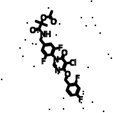 CC(=O)OC(C)(C)C(=O)NCc1cc(F)c(-n2cnc(OCc3ccc(F)cc3F)c(Cl)c2=O)c(F)c1